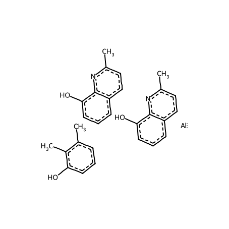 Cc1ccc2cccc(O)c2n1.Cc1ccc2cccc(O)c2n1.Cc1cccc(O)c1C.[Al]